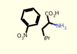 CC(C)CC(N)C(=O)O.O=[N+]([O-])c1ccccc1